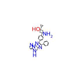 NC1(c2ccc(-c3nc4c(nc3-c3ccccc3)CNc3ccnn3-4)cc2)CC(O)(C2CC2)C1